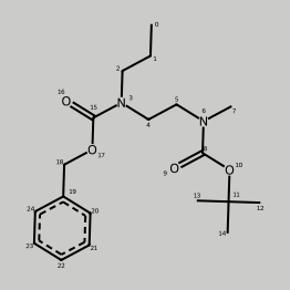 CCCN(CCN(C)C(=O)OC(C)(C)C)C(=O)OCc1ccccc1